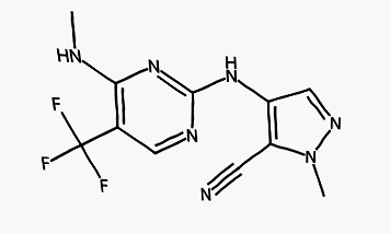 CNc1nc(Nc2cnn(C)c2C#N)ncc1C(F)(F)F